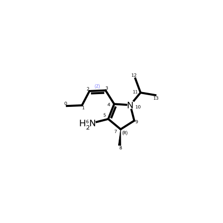 CC/C=C\C1=C(N)[C@H](C)CN1C(C)C